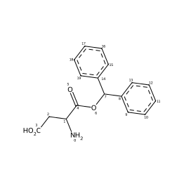 NC(CC(=O)O)C(=O)OC(c1ccccc1)c1ccccc1